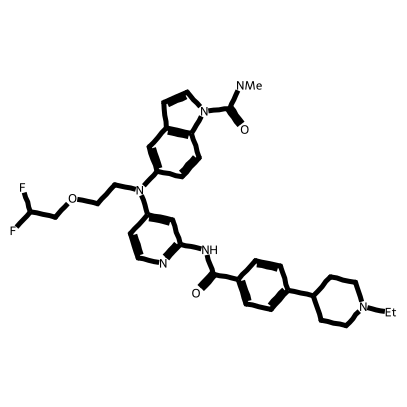 CCN1CCC(c2ccc(C(=O)Nc3cc(N(CCOCC(F)F)c4ccc5c(ccn5C(=O)NC)c4)ccn3)cc2)CC1